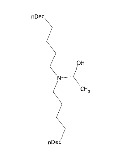 CCCCCCCCCCCCCCN(CCCCCCCCCCCCCC)C(C)O